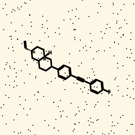 C=C[C@@H]1CC[C@@H]2CC(c3ccc(C#Cc4ccc(F)cc4)cc3)CCC2C1